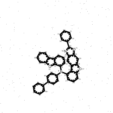 c1ccc(-c2ccc(N(c3cccc4c3oc3ccccc34)c3cccc4oc5cc6oc(-c7ccccc7)nc6cc5c34)cc2)cc1